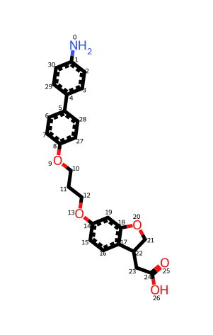 Nc1ccc(-c2ccc(OCCCOc3ccc4c(c3)OCC4CC(=O)O)cc2)cc1